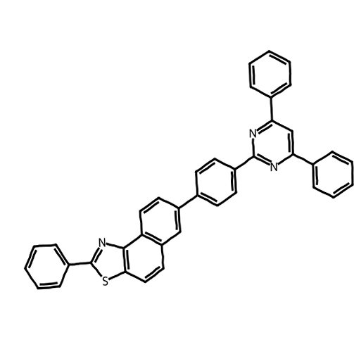 c1ccc(-c2cc(-c3ccccc3)nc(-c3ccc(-c4ccc5c(ccc6sc(-c7ccccc7)nc65)c4)cc3)n2)cc1